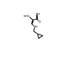 N=C(Cl)/C(C=O)=C\NCC1CC1